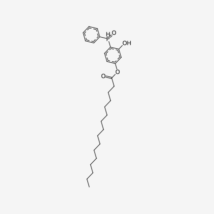 CCCCCCCCCCCCCCCC(=O)Oc1ccc([PH](=O)c2ccccc2)c(O)c1